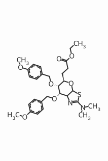 CCOC(=O)CC[C@H]1OC2SC(N(C)C)=NC2[C@H](OCc2ccc(OC)cc2)[C@@H]1OCc1ccc(OC)cc1